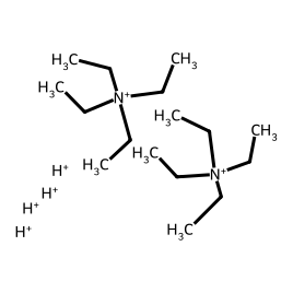 CC[N+](CC)(CC)CC.CC[N+](CC)(CC)CC.[H+].[H+].[H+].[H+]